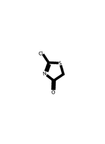 O=C1CSC(Cl)=N1